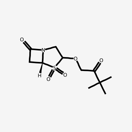 CC(C)(C)C(=O)COC1CN2C(=O)C[C@H]2S1(=O)=O